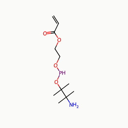 C=CC(=O)OCCOPOC(C)(C)C(C)(C)N